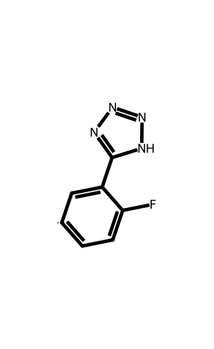 Fc1cc[c]cc1-c1nnn[nH]1